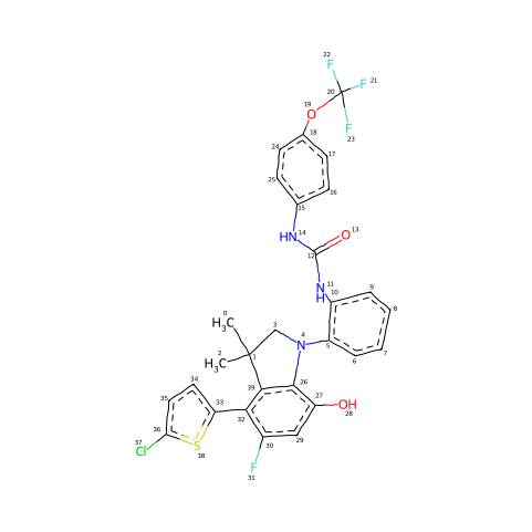 CC1(C)CN(c2ccccc2NC(=O)Nc2ccc(OC(F)(F)F)cc2)c2c(O)cc(F)c(-c3ccc(Cl)s3)c21